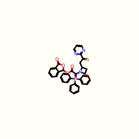 O=C(OC1OC(=O)c2ccccc21)C(N1C(=O)CC1CC(=S)c1ncccn1)=P(c1ccccc1)(c1ccccc1)c1ccccc1